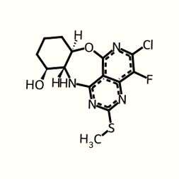 CSc1nc2c3c(nc(Cl)c(F)c3n1)O[C@@H]1CCC[C@H](O)[C@H]1N2